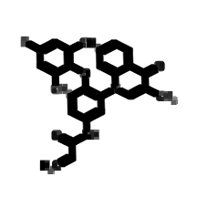 C=CC(=O)Nc1ccc(Oc2c(C)cc(F)cc2C)c(-n2cc(C)c(=O)c3ccccc32)c1